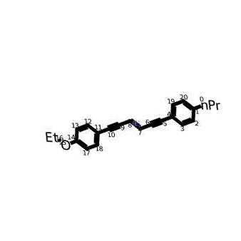 CCCc1ccc(C#C/C=C/C#Cc2ccc(OCC)cc2)cc1